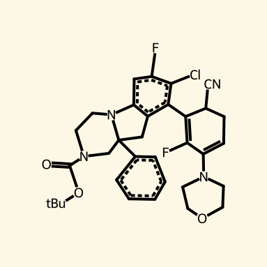 CC(C)(C)OC(=O)N1CCN2c3cc(F)c(Cl)c(C4=C(F)C(N5CCOCC5)=CCC4C#N)c3CC2(c2ccccc2)C1